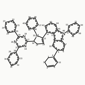 C1=CCCC(c2ccc3c(c2)c2c(C4=CCC(c5nc(-c6ccccc6)nc(-c6ccccc6)n5)N4c4ccccc4)cccc2n3-c2ccccc2)=C1